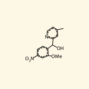 COc1cc([N+](=O)[O-])ccc1C(O)c1cc(C)ccn1